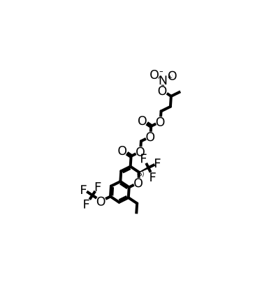 CCc1cc(OC(F)(F)F)cc2c1O[C@H](C(F)(F)F)C(C(=O)OCOC(=O)OCCC(C)O[N+](=O)[O-])=C2